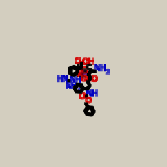 CC(CN)C(C(=O)CCC(NC(=O)OCc1ccccc1)c1ccccc1)P(=O)(O)OC(C(=O)O)c1cccc(NC(=N)N)c1